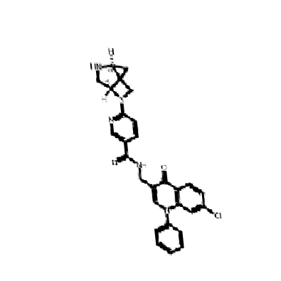 O=C(NCc1cn(-c2ccccc2)c2cc(Cl)ccc2c1=O)c1ccc(N2CC34C[C@@H]3NC[C@@H]24)nc1